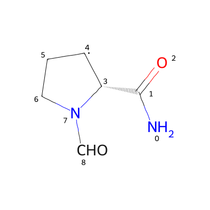 NC(=O)[C@H]1[CH]CCN1C=O